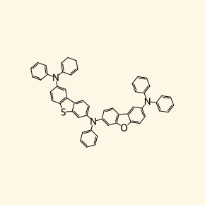 C1=CC(N(c2ccccc2)c2ccc3sc4cc(N(c5ccccc5)c5ccc6c(c5)oc5ccc(N(c7ccccc7)c7ccccc7)cc56)ccc4c3c2)=CCC1